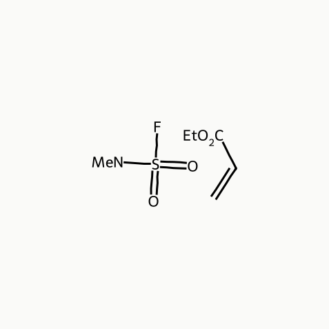 C=CC(=O)OCC.CNS(=O)(=O)F